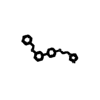 c1ccc(COc2cccc(-c3ccc(OCCn4ccnc4)cc3)c2)cc1